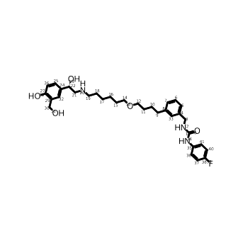 O=C(NCc1cccc(CCCCOCCCCCCNC[C@@H](O)c2ccc(O)c(CO)c2)c1)Nc1ccc(F)cc1